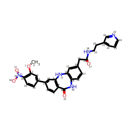 COc1cc(-c2ccc3c(c2)Nc2cc(CC(=O)NCCc4cccnc4)ccc2NC3=O)ccc1[N+](=O)[O-]